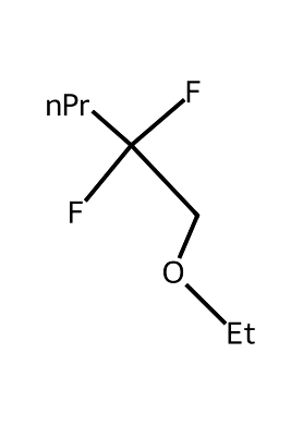 [CH2]COCC(F)(F)CCC